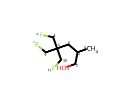 CC(CO)CC(CF)(CF)CF